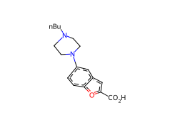 CCCCN1CCN(c2ccc3oc(C(=O)O)cc3c2)CC1